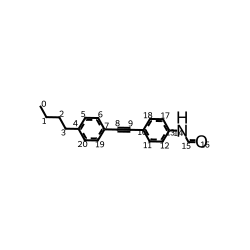 CCCCc1ccc(C#Cc2ccc(NC=O)cc2)cc1